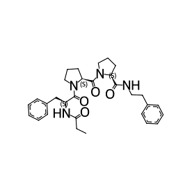 CCC(=O)N[C@@H](Cc1ccccc1)C(=O)N1CCC[C@H]1C(=O)N1CCC[C@H]1C(=O)NCCc1ccccc1